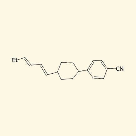 CC/C=C/C=C/C1CCC(c2ccc(C#N)cc2)CC1